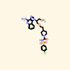 CCC(COCCC1CCN(C(=O)NS(=O)(=O)c2ccc(Cl)cc2)CC1)n1cnc2c(N)nc3ccccc3c21